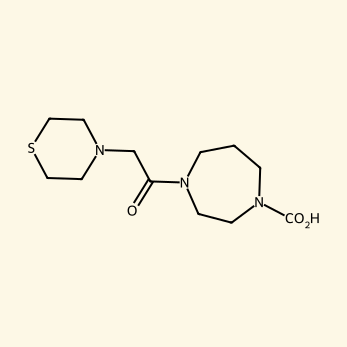 O=C(O)N1CCCN(C(=O)CN2CCSCC2)CC1